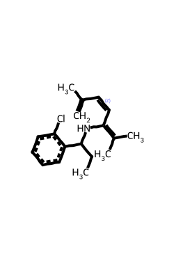 C=C(C)/C=C\C(NC(CC)c1ccccc1Cl)=C(C)C